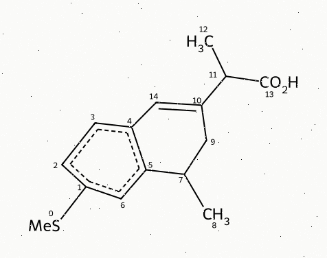 CSc1ccc2c(c1)C(C)CC(C(C)C(=O)O)=C2